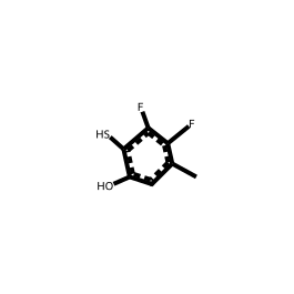 Cc1cc(O)c(S)c(F)c1F